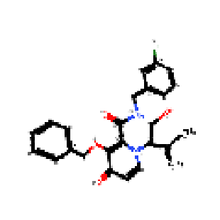 CC(C)C(CO)n1ccc(=O)c(OCc2ccccc2)c1C(=O)NCc1cccc(Cl)c1